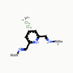 CNN=Cc1cccc(C=NNC)n1.[Cl-].[Cl-].[V+2]